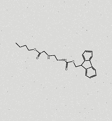 CCCCOC(=O)CNCCNC(=O)OCC1c2ccccc2-c2ccccc21